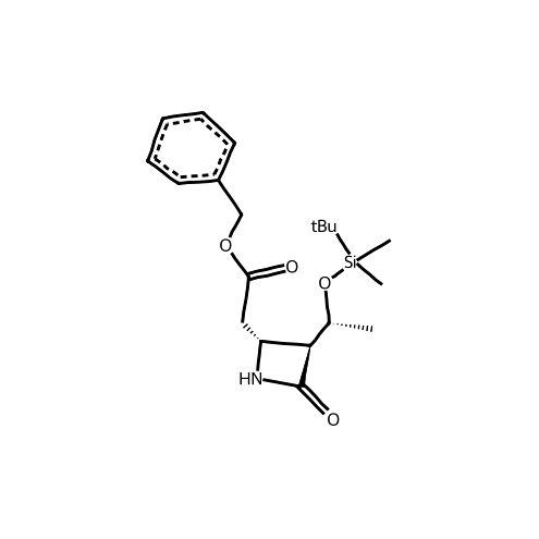 C[C@@H](O[Si](C)(C)C(C)(C)C)[C@H]1C(=O)N[C@@H]1CC(=O)OCc1ccccc1